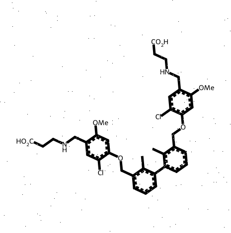 COc1cc(OCc2cccc(-c3cccc(COc4cc(OC)c(CNCCC(=O)O)cc4Cl)c3C)c2C)c(Cl)cc1CNCCC(=O)O